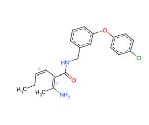 CC/C=C\C(C(=O)NCc1cccc(Oc2ccc(Cl)cc2)c1)=C(/C)N